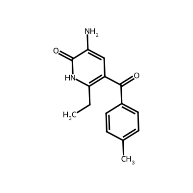 CCc1[nH]c(=O)c(N)cc1C(=O)c1ccc(C)cc1